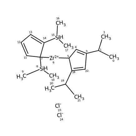 CC(C)C1=C[CH]([Zr+2][C]2([SiH](C)C)C=CC=C2[SiH](C)C)C(C(C)C)=C1.[Cl-].[Cl-]